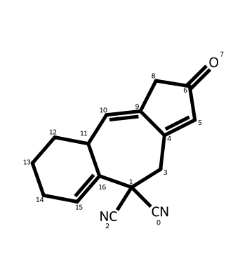 N#CC1(C#N)CC2=CC(=O)CC2=CC2CCCC=C21